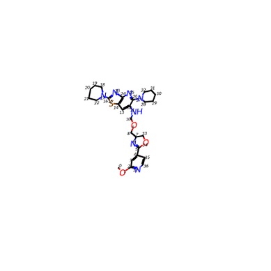 COc1cc(C2=NC(COCNc3cc4sc(N5CCCCC5)nc4nc3N3CCCCC3)CO2)ccn1